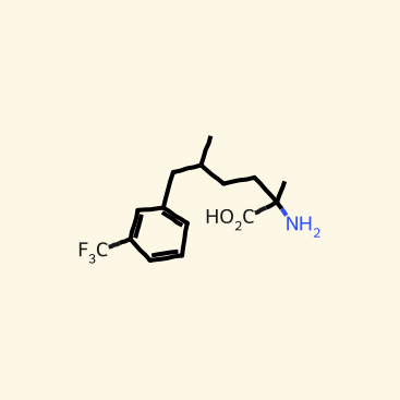 CC(CCC(C)(N)C(=O)O)Cc1cccc(C(F)(F)F)c1